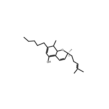 CCCCCC1=CC(O)=C2C=C[C@](C)(CCC=C(C)C)OC2C1C